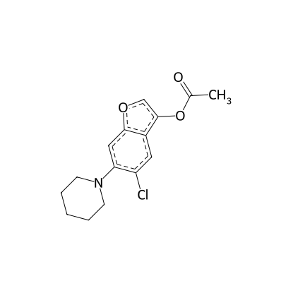 CC(=O)Oc1coc2cc(N3CCCCC3)c(Cl)cc12